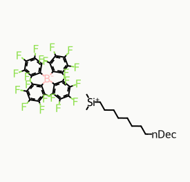 CCCCCCCCCCCCCCCCCC[Si+](C)C.Fc1c(F)c(F)c([B-](c2c(F)c(F)c(F)c(F)c2F)(c2c(F)c(F)c(F)c(F)c2F)c2c(F)c(F)c(F)c(F)c2F)c(F)c1F